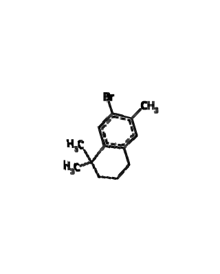 Cc1cc2c(cc1Br)C(C)(C)CCC2